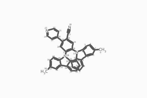 Cc1ccc2c(c1)c1ccccc1n2-c1cc(C#N)c(-c2ccncc2)cc1-n1c2ccccc2c2cc(C)ccc21